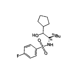 CC[C@H](C)[C@H](NS(=O)(=O)c1ccc(F)cc1)C(O)C1CCCC1